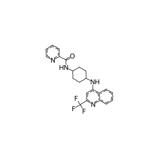 O=C(NC1CCC(Nc2cc(C(F)(F)F)nc3ccccc23)CC1)c1ccccn1